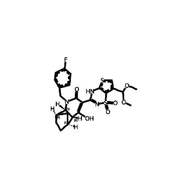 COC(OC)c1csc2c1S(=O)(=O)N=C(C1=C(O)[C@@H]3[C@H]4CC[C@H](C4)[C@@H]3N(Cc3ccc(F)cc3)C1=O)N2